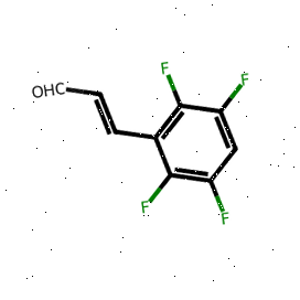 O=C/C=C/c1c(F)c(F)cc(F)c1F